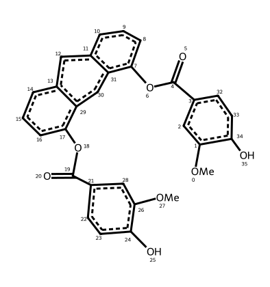 COc1cc(C(=O)Oc2cccc3cc4cccc(OC(=O)c5ccc(O)c(OC)c5)c4cc23)ccc1O